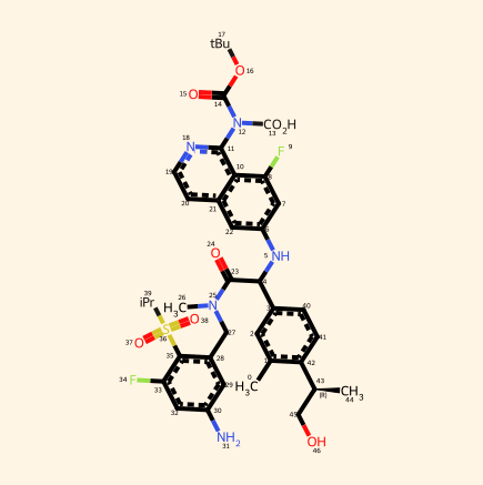 Cc1cc(C(Nc2cc(F)c3c(N(C(=O)O)C(=O)OC(C)(C)C)nccc3c2)C(=O)N(C)Cc2cc(N)cc(F)c2S(=O)(=O)C(C)C)ccc1[C@@H](C)CO